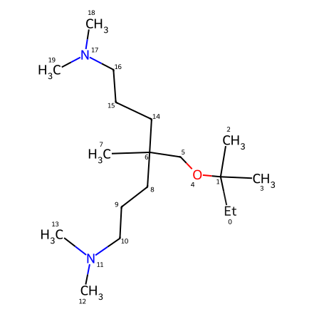 CCC(C)(C)OCC(C)(CCCN(C)C)CCCN(C)C